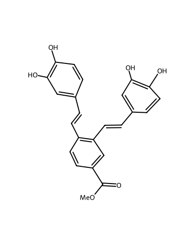 COC(=O)c1ccc(/C=C/c2ccc(O)c(O)c2)c(/C=C/c2ccc(O)c(O)c2)c1